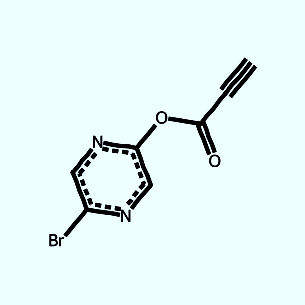 C#CC(=O)Oc1cnc(Br)cn1